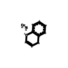 C1=COc2ccccc2C1.[Cu].[Ni]